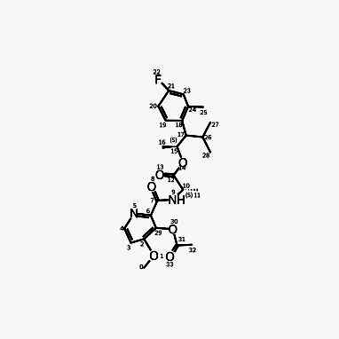 COc1ccnc(C(=O)N[C@@H](C)C(=O)O[C@@H](C)C(c2ccc(F)cc2C)C(C)C)c1OC(C)=O